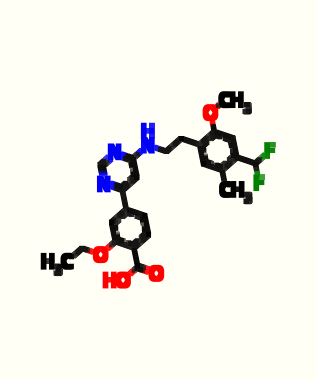 CCOc1cc(-c2cc(NCCc3cc(C)c(C(F)F)cc3OC)ncn2)ccc1C(=O)O